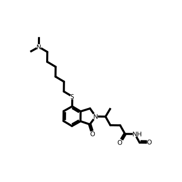 CC(CCC(=O)NC=O)N1Cc2c(SCCCCCCN(C)C)cccc2C1=O